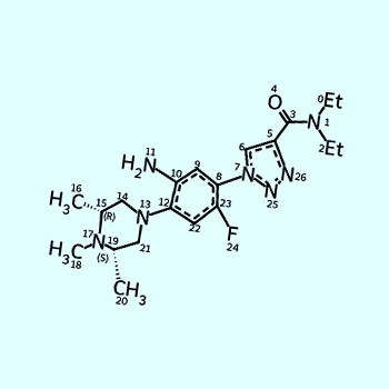 CCN(CC)C(=O)c1cn(-c2cc(N)c(N3C[C@@H](C)N(C)[C@@H](C)C3)cc2F)nn1